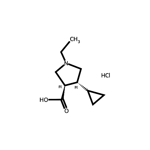 CCN1C[C@H](C(=O)O)[C@@H](C2CC2)C1.Cl